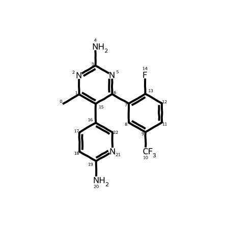 Cc1nc(N)nc(-c2cc(C(F)(F)F)ccc2F)c1-c1ccc(N)nc1